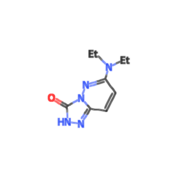 CCN(CC)c1ccc2n[nH]c(=O)n2n1